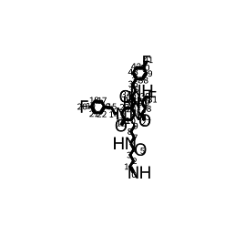 N=CCCC(=O)NCCC[C@H]1C(=O)N(CCc2ccc(F)cc2)C[C@H]2N1C(=O)CN(CF)N2C(=O)NCc1ccc(F)cc1